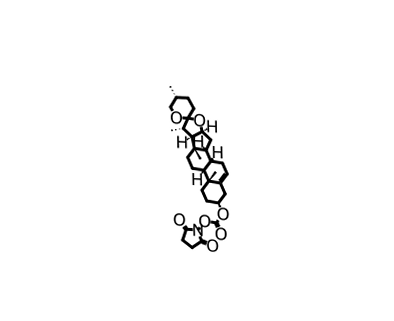 C[C@@H]1CCC2(OC1)O[C@H]1C[C@H]3[C@@H]4CC=C5C[C@@H](OC(=O)ON6C(=O)CCC6=O)CC[C@]5(C)[C@H]4CC[C@]3(C)[C@H]1[C@@H]2C